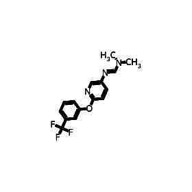 CN(C)/C=N/c1ccc(Oc2cccc(C(F)(F)F)c2)nc1